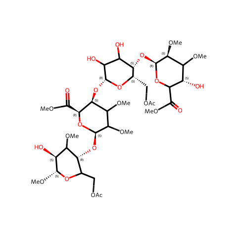 COC(=O)C1O[C@@H](O[C@H]2C(O)C(O)[C@@H](O[C@H]3C(OC)C(OC)[C@@H](O[C@@H]4C(COC(C)=O)O[C@H](OC)[C@@H](O)C4OC)O[C@H]3C(=O)OC)O[C@H]2COC(C)=O)[C@@H](OC)C(OC)[C@@H]1O